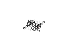 CC(C)c1cc(N(c2cccc3c2CCCC3)c2cccc3c2c2ccccc2n3-c2ccc(-c3ccccc3)cc2)c2ccc3c(C(C)C)cc(N(c4cccc5c4CCCC5)c4cccc5c4c4ccccc4n5-c4ccc(-c5ccccc5)cc4)c4ccc1c2c34